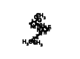 COC(=O)c1ccncc1Nc1nn(CCCCN(C)C)c2ccc(F)cc12